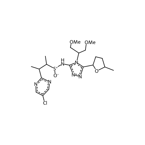 COCC(COC)n1c(N[S+]([O-])C(C)C(C)c2ncc(Cl)cn2)nnc1C1CCC(C)O1